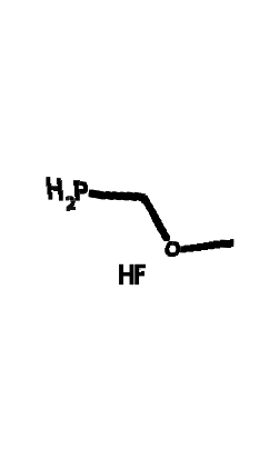 COCP.F